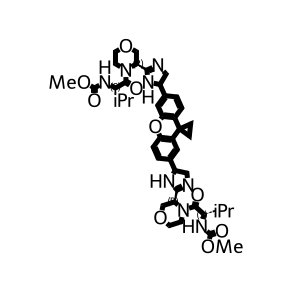 COC(=O)N[C@H](C(=O)N1CCOC[C@H]1C1=NCC(c2ccc3c(c2)Oc2ccc(C4CN=C([C@@H]5COCCN5C(=O)[C@@H](NC(=O)OC)C(C)C)N4)cc2C32CC2)N1)C(C)C